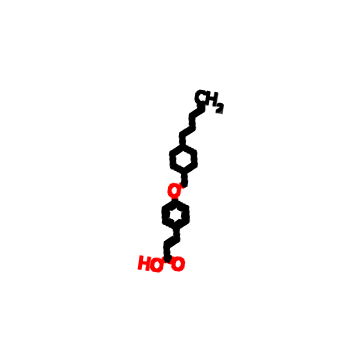 C=CCCCC1CCC(COc2ccc(C=CC(=O)O)cc2)CC1